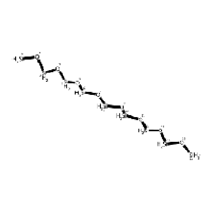 [SiH2]O[SiH2]O[SiH2]O[SiH2]O[SiH2]O[SiH2]O[SiH2]O[SiH2]O[SiH2]